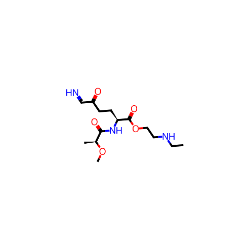 CCNCCOC(=O)[C@H](CCC(=O)C=N)NC(=O)[C@H](C)OC